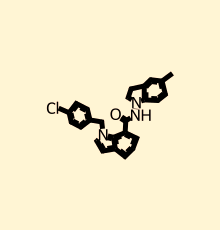 Cc1ccc2c(c1)CCN2NC(=O)c1cccc2ccn(Cc3ccc(Cl)cc3)c12